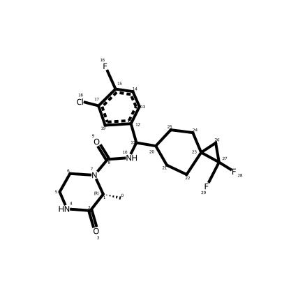 C[C@@H]1C(=O)NCCN1C(=O)NC(c1ccc(F)c(Cl)c1)C1CCC2(CC1)CC2(F)F